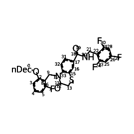 CCCCCCCCCCOc1cccc(F)c1CN1C(=O)CSc2cc(C(=O)NCc3c(F)cc(F)cc3F)ccc21